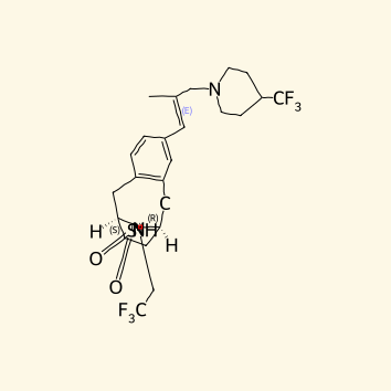 C/C(=C\c1ccc2c(c1)C[C@H]1CC[C@@H](C2)[C@]12CN(CC(F)(F)F)S(=O)(=O)N2)CN1CCC(C(F)(F)F)CC1